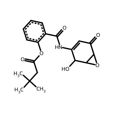 CC(C)(C)CC(=O)Oc1ccccc1C(=O)NC1=CC(=O)C2OC2C1O